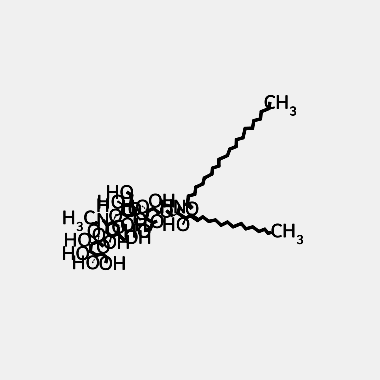 CCCCCCCCCCCCC/C=C/[C@@H](O)[C@H](CO[C@@H]1OC(CO)[C@@H](O[C@@H]2OC(CO)[C@H](O)[C@H](O[C@@H]3OC(CO)[C@@H](O)[C@H](O[C@@H]4OC(CO)[C@H](O)[C@H](O)C4O)C3NC(C)=O)C2O)[C@H](O)C1O)NC(=O)CCCCCCCCCCCCCCCCCCCCC